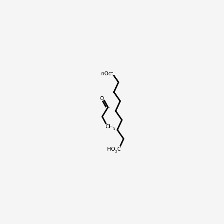 CCCCCCCCCCCCCCCC(=O)O.CC[C]=O